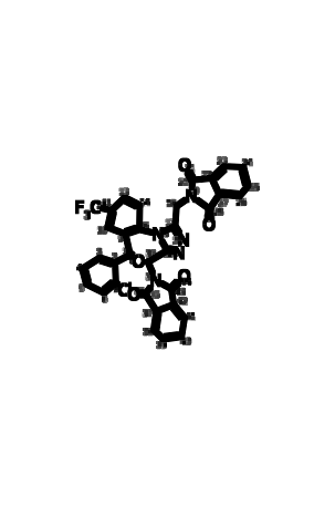 O=C(c1ccccc1Cl)c1cc(C(F)(F)F)ccc1-n1c(CN2C(=O)c3ccccc3C2=O)nnc1CN1C(=O)c2ccccc2C1=O